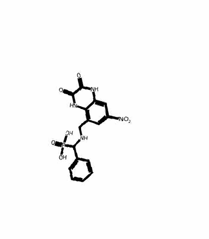 O=c1[nH]c2cc([N+](=O)[O-])cc(CNC(c3ccccc3)P(=O)(O)O)c2[nH]c1=O